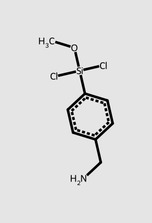 CO[Si](Cl)(Cl)c1ccc(CN)cc1